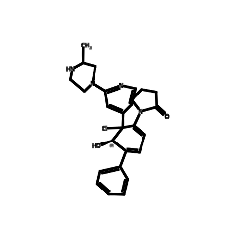 CC1CN(c2cc(C3(Cl)C(N4CCCC4=O)=CC=C(c4ccccc4)[C@H]3O)ccn2)CCN1